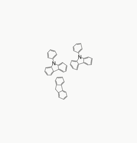 c1ccc(-n2c3ccccc3c3ccccc32)cc1.c1ccc(-n2c3ccccc3c3ccccc32)cc1.c1ccc2c(c1)Cc1ccccc1-2